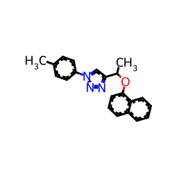 Cc1ccc(-n2cc(C(C)Oc3cccc4ccccc34)nn2)cc1